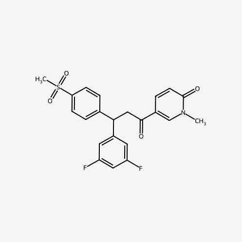 Cn1cc(C(=O)CC(c2ccc(S(C)(=O)=O)cc2)c2cc(F)cc(F)c2)ccc1=O